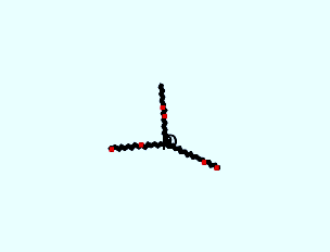 CCCCCCCCCCCCCCCCCCP(=O)(CCCCCCCCCCCCCCCCCC)CCCCCCCCCCCCCCCCCC